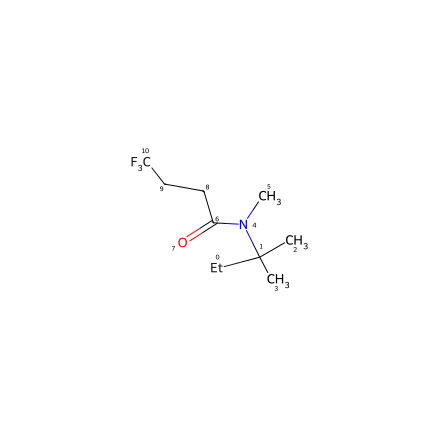 CCC(C)(C)N(C)C(=O)CCC(F)(F)F